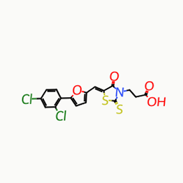 O=C(O)CCN1C(=O)C(=Cc2ccc(-c3ccc(Cl)cc3Cl)o2)SC1=S